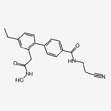 CCc1ccc(-c2ccc(C(=O)NCCC#N)cc2)c(CC(=O)NO)c1